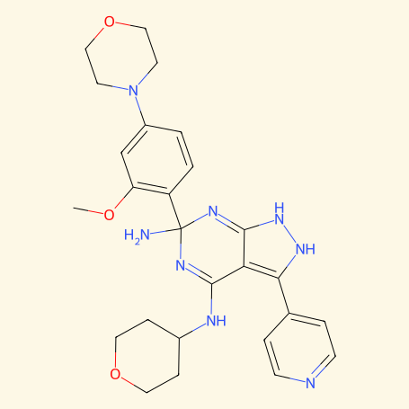 COc1cc(N2CCOCC2)ccc1C1(N)N=C2NNC(c3ccncc3)=C2C(NC2CCOCC2)=N1